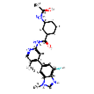 Cc1cnc(NC(=O)C2CCCC(NC(=O)C(C)C)C2)cc1-c1cc(F)c2ncn(C(C)C)c2c1